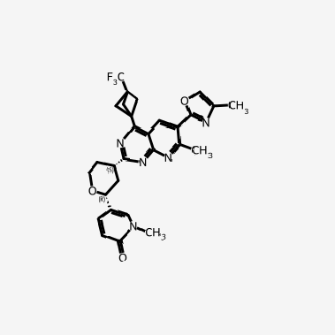 Cc1coc(-c2cc3c(C45CC(C(F)(F)F)(C4)C5)nc([C@H]4CCO[C@@H](c5ccc(=O)n(C)c5)C4)nc3nc2C)n1